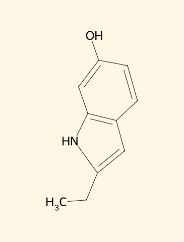 CCc1cc2ccc(O)cc2[nH]1